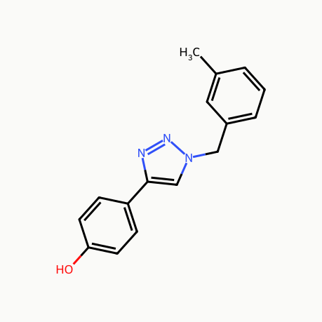 Cc1cccc(Cn2cc(-c3ccc(O)cc3)nn2)c1